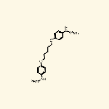 CCCC(C)Nc1ccc(OCCCCCOc2ccc(NC(C)CCC)cc2)cc1